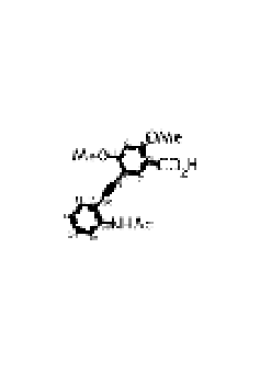 COc1cc(OC)c(C(=O)O)cc1C#Cc1ccccc1NC(C)=O